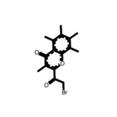 Cc1c(C)c(C)c2c(=O)c(C)c(C(=O)CBr)oc2c1C